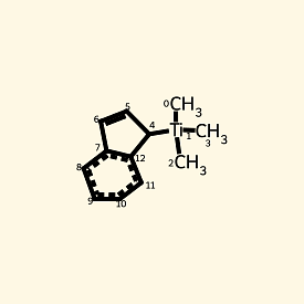 [CH3][Ti]([CH3])([CH3])[CH]1C=Cc2ccccc21